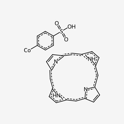 C1=Cc2cc3ccc(cc4nc(cc5ccc(cc1n2)[nH]5)C=C4)[nH]3.O=S(=O)(O)c1cc[c]([Co])cc1